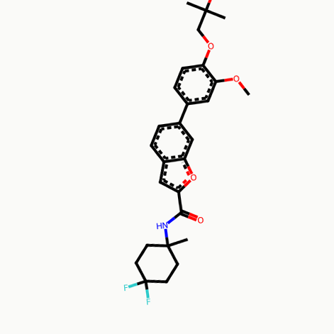 COc1cc(-c2ccc3cc(C(=O)NC4(C)CCC(F)(F)CC4)oc3c2)ccc1OCC(C)(C)O